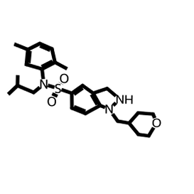 Cc1ccc(C)c(N(CC(C)C)S(=O)(=O)c2ccc3c(c2)CNN3CC2CCOCC2)c1